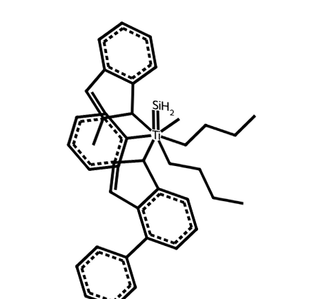 CCC[CH2][Ti]([CH3])(=[SiH2])([CH2]CCC)([c]1ccccc1)([CH]1C=Cc2c(-c3ccccc3)cccc21)[CH]1C(C)=Cc2ccccc21